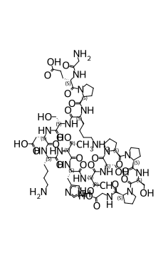 C[C@@H](O)[C@H](NC(=O)[C@H](CCCCN)NC(=O)[C@H](CC(=O)O)NC(=O)[C@H](CO)NC(=O)[C@H](CCCCN)NC(=O)[C@@H]1CCCN1C(=O)[C@H](CCC(=O)O)NC(=O)CN)C(=O)N[C@@H](Cc1c[nH]cn1)C(=O)N[C@H](C(=O)N[C@@H](CO)C(=O)N1CCC[C@H]1C(=O)N1CCC[C@H]1C(=O)N[C@@H](CO)C(=O)N1CCC[C@H]1C(=O)NCC(=O)O)[C@@H](C)O